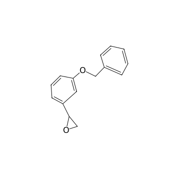 c1ccc(COc2cccc(C3CO3)c2)cc1